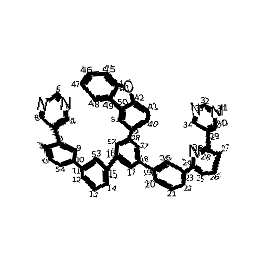 c1cc(-c2cncnc2)cc(-c2cccc(-c3cc(-c4cccc(-c5cccc(-c6cncnc6)n5)c4)cc(-c4ccc5oc6ccccc6c5c4)c3)c2)c1